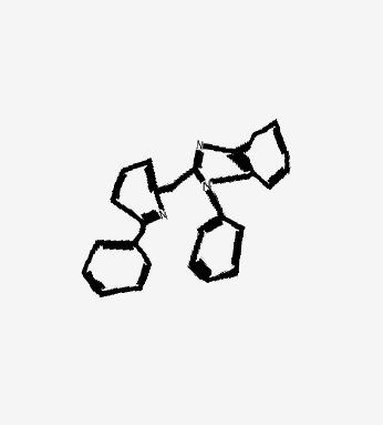 C1=CCc2nc(-c3cccc(-c4ccccc4)n3)n(-c3ccccc3)c2C=C1